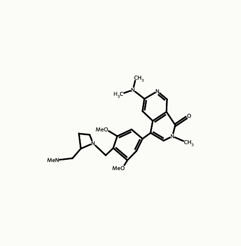 CNCC1CCN1Cc1c(OC)cc(-c2cn(C)c(=O)c3cnc(N(C)C)cc23)cc1OC